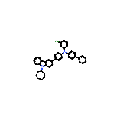 Clc1cccc(N(c2ccc(-c3ccccc3)cc2)c2ccc(-c3ccc4c(c3)c3ccccc3n4C3C=CC=CCC3)cc2)c1